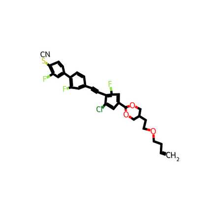 C=CCCOCCC1COC(c2cc(F)c(C#Cc3ccc(-c4ccc(SC#N)c(F)c4)c(F)c3)c(Cl)c2)OC1